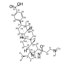 CC(C)[C@@H]1CC[C@]2(NC(=O)CCN(C)C)CC[C@]3(C)[C@H](CC[C@@H]4[C@@]5(C)CC[C@@H](c6ccc(C(=O)O)cc6)C(C)(C)[C@@H]5CC[C@]43C)[C@@H]12